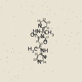 C/C(=C\C=C1\C(=O)NC(C)(c2ccccn2)N1C=O)Nc1ccncn1